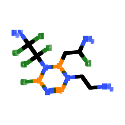 NCCn1pnp(Cl)n(C(Cl)(Cl)C(N)(Cl)Cl)p1CC(N)Cl